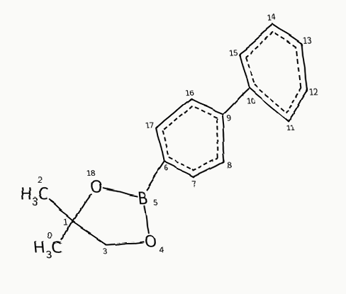 CC1(C)COB(c2ccc(-c3ccccc3)cc2)O1